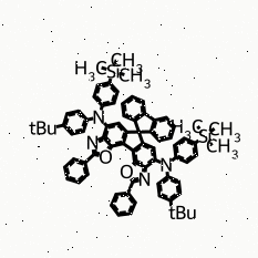 CC(C)(C)c1ccc(N(c2ccc([Si](C)(C)C)cc2)c2cc3c(c4oc(-c5ccccc5)nc24)-c2c(cc(N(c4ccc(C(C)(C)C)cc4)c4ccc([Si](C)(C)C)cc4)c4nc(-c5ccccc5)oc24)C32c3ccccc3-c3ccccc32)cc1